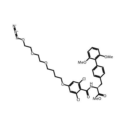 COC(=O)[C@H](Cc1ccc(-c2c(OC)cccc2OC)cc1)NC(=O)c1c(Cl)cc(OCCCCOCCOCCON=[N+]=[N-])cc1Cl